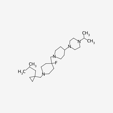 CC(C)CC1(CN2CCC(F)(CN3CCC(N4CCN(C(C)C)CC4)CC3)CC2)CC1